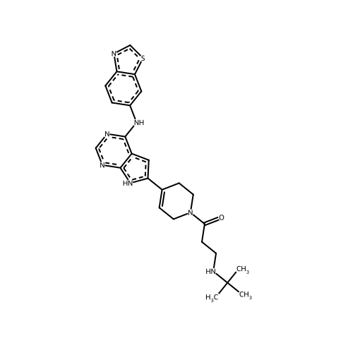 CC(C)(C)NCCC(=O)N1CC=C(c2cc3c(Nc4ccc5ncsc5c4)ncnc3[nH]2)CC1